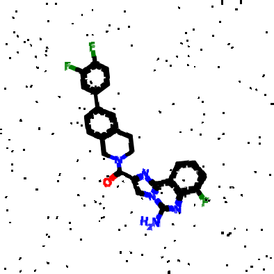 Nc1nc2c(F)cccc2c2nc(C(=O)N3CCc4cc(-c5ccc(F)c(F)c5)ccc4C3)cn12